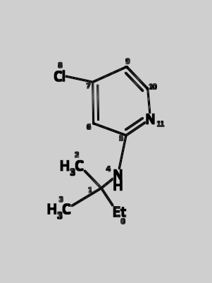 CCC(C)(C)Nc1cc(Cl)ccn1